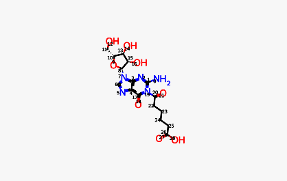 Nc1nc2c(ncn2[C@@H]2O[C@H](CO)[C@@H](O)[C@H]2O)c(=O)n1C(=O)CCCCC(=O)O